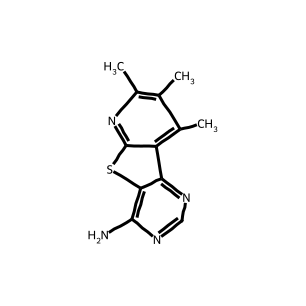 Cc1nc2sc3c(N)ncnc3c2c(C)c1C